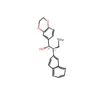 CNC[C@@H](c1ccc2ccccc2c1)[C@@H](O)c1ccc2c(c1)OCCO2